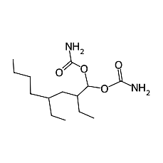 CCCCC(CC)CC(CC)C(OC(N)=O)OC(N)=O